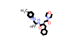 CCC[C@H](CNc1ccc(C)cc1)NC(=O)[C@@H](CC(=O)N1CCOCC1)CC1CCCCC1